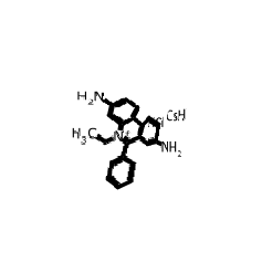 CC[n+]1c(-c2ccccc2)c2cc(N)ccc2c2ccc(N)cc21.Cl.[CsH]